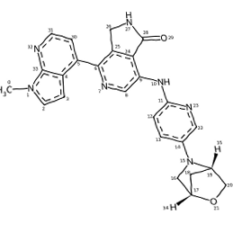 Cn1ccc2c(-c3ncc(Nc4ccc(N5C[C@@H]6C[C@H]5CO6)cn4)c4c3CNC4=O)ccnc21